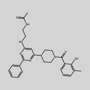 CC(=O)NCCNc1cc(N2CCN(C(=O)c3cccc(C)c3O)CC2)nc(-c2ccccc2)n1